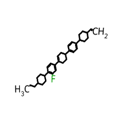 C=CC1CCC(c2ccc(C3CC=C(c4ccc(C5CCC(CCC)CC5)c(F)c4)CC3)cc2)CC1